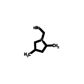 CCCCCN1CC(C)CC1C